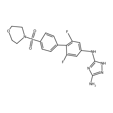 Nc1n[nH]c(Nc2cc(F)c(-c3ccc(S(=O)(=O)N4CCOCC4)cc3)c(F)c2)n1